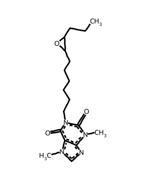 CCCC1OC1CCCCCCn1c(=O)c2c(ncn2C)n(C)c1=O